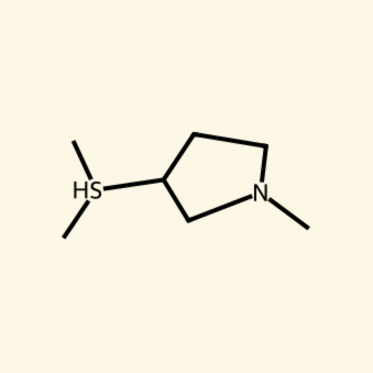 CN1CCC([SH](C)C)C1